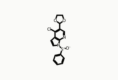 [O-][S+](c1ccccc1)n1ccc2c(Cl)c(C3OCCO3)cnc21